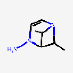 CC1C2C(C)N1C=CN2N